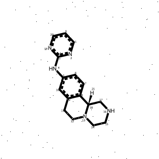 c1cnc(Nc2ccc3c(c2)CCN2CCNC[C@@H]32)nc1